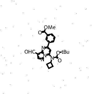 COC(=O)c1cccc(-c2cc(N(C(=O)OC(C)(C)C)C3CCC3)n3ncc(C=O)c3n2)c1